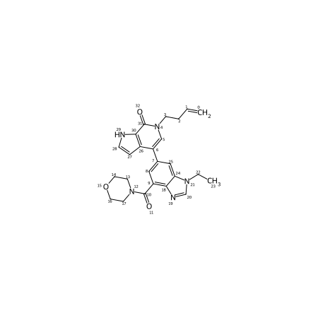 C=CCCn1cc(-c2cc(C(=O)N3CCOCC3)c3ncn(CC)c3c2)c2cc[nH]c2c1=O